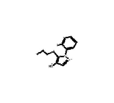 CCCCc1c(O)cnn1-c1ccccc1C